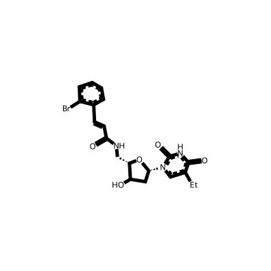 CCc1cn([C@@H]2CC(O)[C@H](CNC(=O)/C=C/c3ccccc3Br)O2)c(=O)[nH]c1=O